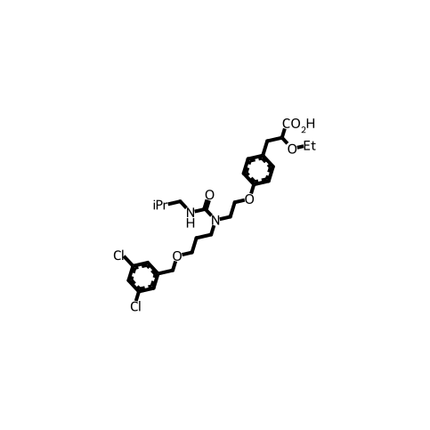 CCOC(Cc1ccc(OCCN(CCCOCc2cc(Cl)cc(Cl)c2)C(=O)NCC(C)C)cc1)C(=O)O